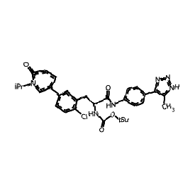 Cc1[nH]nnc1-c1ccc(NC(=O)C(Cc2cc(-c3ccc(=O)n(C(C)C)c3)ccc2Cl)NC(=O)OC(C)(C)C)cc1